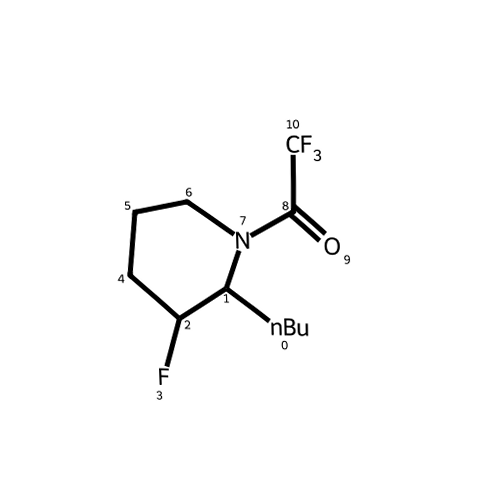 CCCCC1C(F)CCCN1C(=O)C(F)(F)F